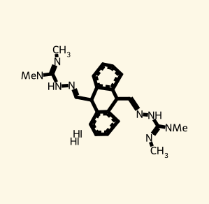 CN=C(NC)NN=CC1c2ccccc2C(C=NNC(=NC)NC)c2ccccc21.I.I